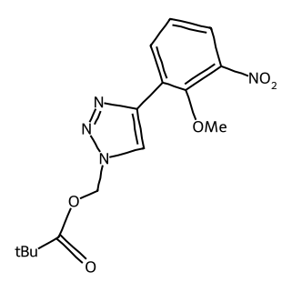 COc1c(-c2cn(COC(=O)C(C)(C)C)nn2)cccc1[N+](=O)[O-]